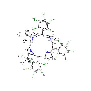 CC(C)(C)c1cc2[nH]c1c(-c1c(F)c(F)c(F)c(F)c1F)c1nc(c(-c3c(F)c(F)c(F)c(F)c3F)c3ccc([nH]3)c(-c3c(F)c(F)c(F)c(F)c3F)c3cc(C(C)(C)C)c2[nH]3)C=C1